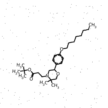 CCCCCCCCOc1ccc(C2CN(CCC(=O)OC(C)(C)C)C(C)(C)CO2)cc1